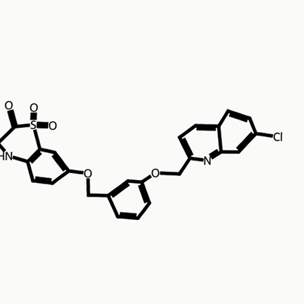 O=C1CNc2ccc(OCc3cccc(OCc4ccc5ccc(Cl)cc5n4)c3)cc2S1(=O)=O